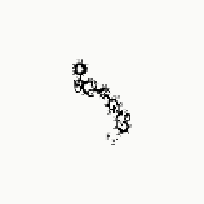 O=C(Cn1cc(C(F)(F)F)ccc1=O)N1CCC(c2nc(C3OCc4onc(-c5ccccc5)c4CO3)cs2)CC1